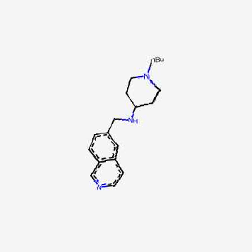 CCCCN1CCC(NCc2ccc3cnccc3c2)CC1